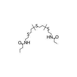 CCCC(=O)NCCSCCC(C)(C)SCCC(C)(C)SCCNC(=O)CC